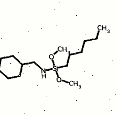 CCCCCC[Si](NCC1CCCCC1)(OC)OC